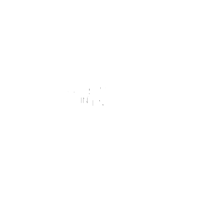 CN[C@@H](Cc1ccccc1)C(=O)NCCc1ccccc1